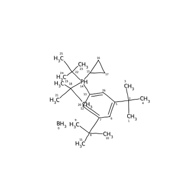 B.CC(C)(C)c1cc(C(C)(C)C)cc([PH](C2CC2)(C(C)(C)C)C(C)(C)C)c1